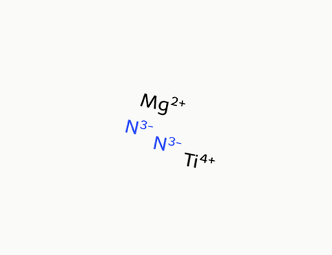 [Mg+2].[N-3].[N-3].[Ti+4]